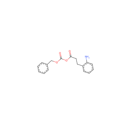 Nc1ccccc1CCC(=O)OC(=O)OCc1ccccc1